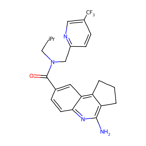 CC(C)CN(Cc1ccc(C(F)(F)F)cn1)C(=O)c1ccc2nc(N)c3c(c2c1)CCC3